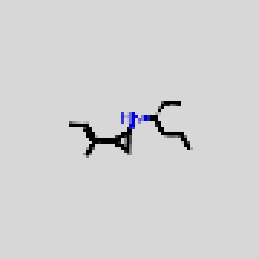 C/C=C(\C)C1CC1N[C@@H](CC)CCC